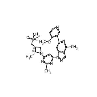 COc1ccncc1-c1cc2c(cnn2-c2cc(N3C[C@H](CS(C)(=O)=O)[C@H]3C)nc(C)n2)c(C)n1